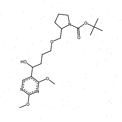 COc1ncc(C(O)CCCOCC2CCCN2C(=O)OC(C)(C)C)c(OC)n1